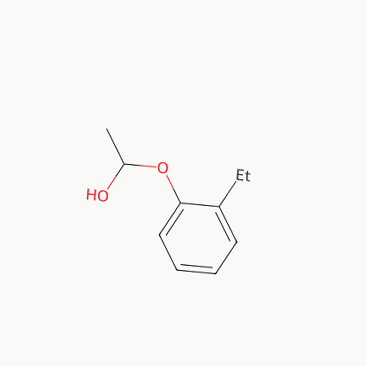 CCc1ccccc1OC(C)O